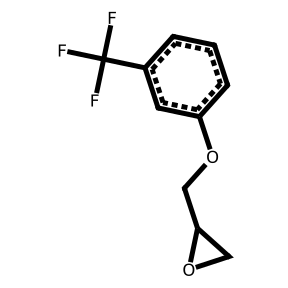 FC(F)(F)c1cccc(OCC2CO2)c1